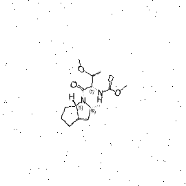 COC(=O)N[C@H](C(=O)N1[C@H](C)CC2CCC[C@@H]21)C(C)OC